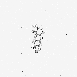 CCCCN1CN=C2Oc3cc(OCC)c(Cl)cc3C=C2C1=O